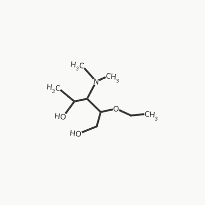 CCOC(CO)C(C(C)O)N(C)C